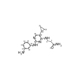 NC(=O)CCNc1nc(Nc2cccc(N)c2)ncc1C1CC1